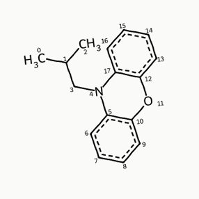 CC(C)CN1c2ccccc2Oc2ccccc21